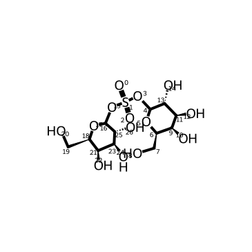 O=S(=O)(OC1O[C@H](CO)[C@H](O)[C@H](O)[C@H]1O)OC1O[C@H](CO)[C@H](O)[C@H](O)[C@H]1O